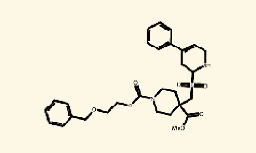 COC(=O)C1(CS(=O)(=O)C2CC(c3ccccc3)=CCN2)CCN(C(=O)OCCOCc2ccccc2)CC1